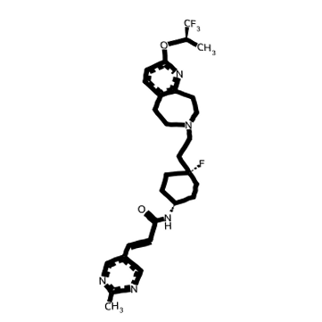 Cc1ncc(/C=C/C(=O)N[C@H]2CC[C@](F)(CCN3CCc4ccc(O[C@H](C)C(F)(F)F)nc4CC3)CC2)cn1